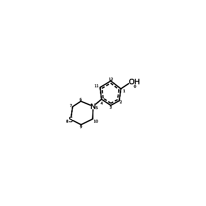 Oc1ccc(N2CCSCC2)cc1